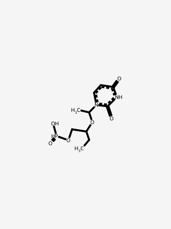 CCC(CO[PH](=O)O)OC(C)n1ccc(=O)[nH]c1=O